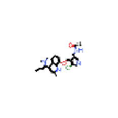 C=C/C=C(/c1cc(C)nc2c(OCc3c(Cl)cncc3CNC(=O)CC)cccc12)N(C)C